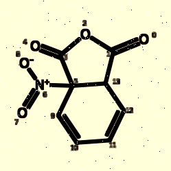 O=C1OC(=O)C2([N+](=O)[O-])C=CC=CC12